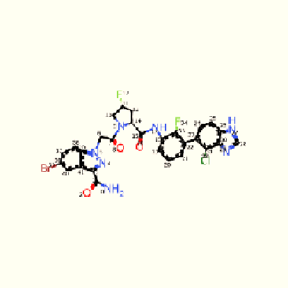 NC(=O)c1nn(CC(=O)N2C[C@H](F)C[C@H]2C(=O)Nc2cccc(-c3ccc4[nH]cnc4c3Cl)c2F)c2ccc(Br)cc12